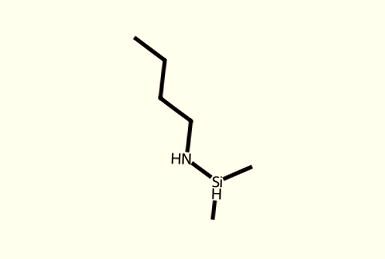 CCCCN[SiH](C)C